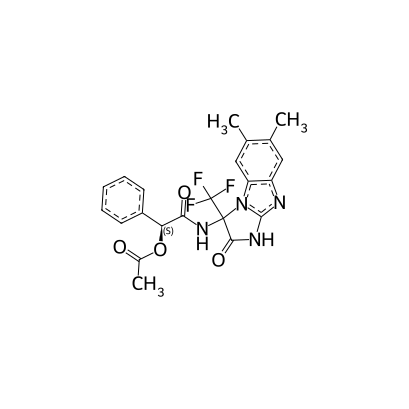 CC(=O)O[C@H](C(=O)NC1(C(F)(F)F)C(=O)Nc2nc3cc(C)c(C)cc3n21)c1ccccc1